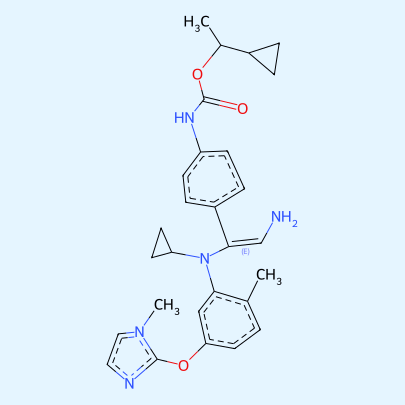 Cc1ccc(Oc2nccn2C)cc1N(/C(=C/N)c1ccc(NC(=O)OC(C)C2CC2)cc1)C1CC1